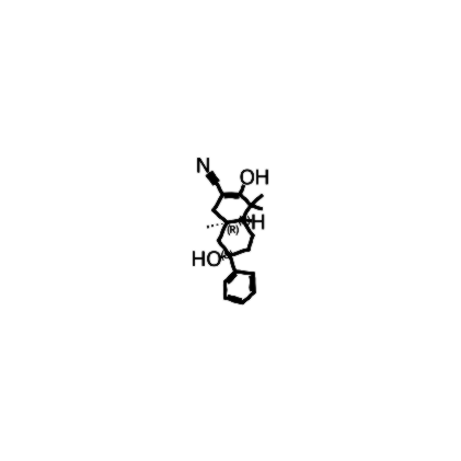 CC1(C)C(O)=C(C#N)C[C@]2(C)C[C@](O)(c3ccccc3)CC[C@@H]12